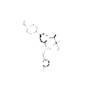 CC(C)(CO)C(=O)n1nc(C2CCN(CC(=O)O)CC2)cc1NCc1ccc(Cl)s1